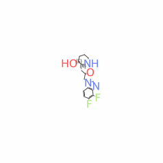 O=C(C[C@H]1NCCC[C@@H]1O)Cn1cnc2c(F)c(F)ccc21